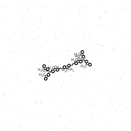 C=C1c2ccccc2-c2ccc(N(c3ccc4c(c3)C(C)(C)c3ccccc3-4)c3ccc4c(c3)C(C)(C)c3cc(/C=C/c5ccc6c(c5)C(C)(C)c5cc(/C=C/c7ccc8c(c7)C(C)(C)c7cc(N(c9ccc%10c(c9)C(=C)c9ccccc9-%10)c9ccc%10c(c9)C(C)(C)c9ccccc9-%10)ccc7-8)ccc5-6)ccc3-4)cc21